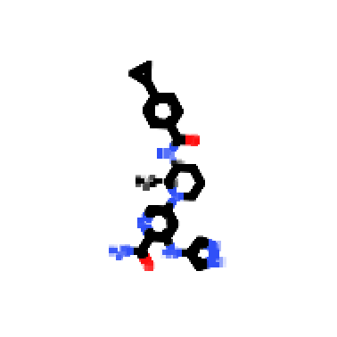 C[C@@H]1[C@H](NC(=O)c2ccc(C3CC3)cc2)CCCN1c1cnc(C(N)=O)c(Nc2cn[nH]c2)c1